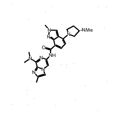 CN[C@H]1CCN(c2ccc(C(=O)Nc3cn4cc(C)nc4c(N(C)C)n3)c3nn(C)cc23)C1